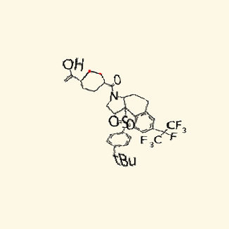 C=C(O)C12CCC(C(=O)N3CCC4(S(=O)(=O)c5ccc(C(C)(C)C)cc5)c5ccc(C(F)(C(F)(F)F)C(F)(F)F)cc5CCC34)(CC1)CC2